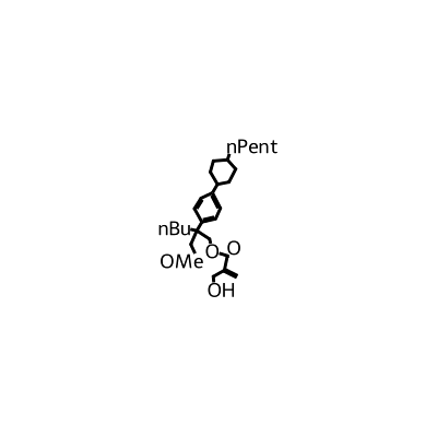 C=C(CO)C(=O)OCC(CCCC)(COC)c1ccc(C2CCC(CCCCC)CC2)cc1